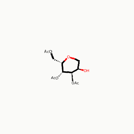 CC(=O)OC[C@@H]1OC[C@@H](O)[C@@H](OC(C)=O)[C@@H]1OC(C)=O